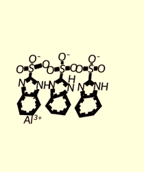 O=S(=O)([O-])c1nc2ccccc2[nH]1.O=S(=O)([O-])c1nc2ccccc2[nH]1.O=S(=O)([O-])c1nc2ccccc2[nH]1.[Al+3]